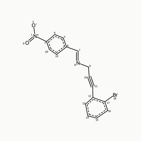 O=[N+]([O-])c1ccc(/C=N/CC#Cc2ccccc2Br)cc1